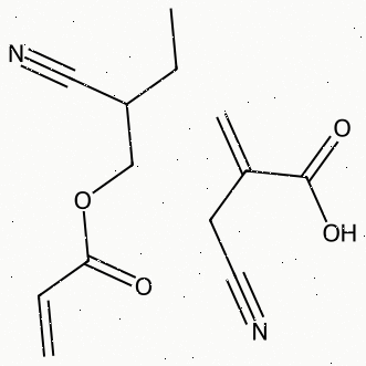 C=C(CC#N)C(=O)O.C=CC(=O)OCC(C#N)CC